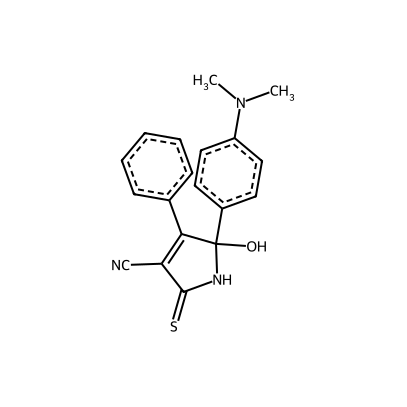 CN(C)c1ccc(C2(O)NC(=S)C(C#N)=C2c2ccccc2)cc1